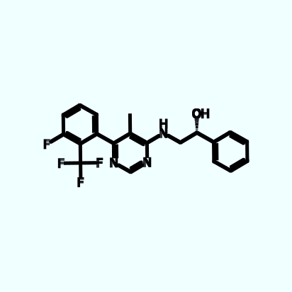 Cc1c(NC[C@H](O)c2ccccc2)ncnc1-c1cccc(F)c1C(F)(F)F